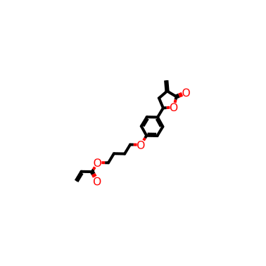 C=CC(=O)OCCCCOc1ccc(C2CC(=C)C(=O)O2)cc1